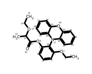 CCOc1cccc(OC(=O)C(C)OCC)c1N1c2ccccc2Oc2ccccc21